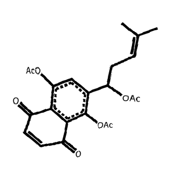 CC(=O)Oc1cc(C(CC=C(C)C)OC(C)=O)c(OC(C)=O)c2c1C(=O)C=CC2=O